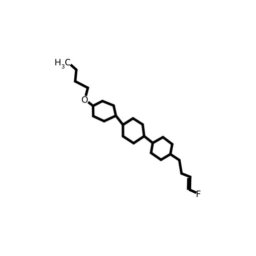 CCCCOC1CCC(C2CCC(C3CCC(CC/C=C/F)CC3)CC2)CC1